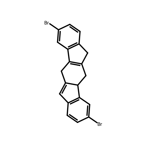 Brc1ccc2c(c1)C1=C(C2)CC2C(=Cc3ccc(Br)cc32)C1